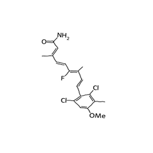 COc1cc(Cl)c(C=CC(C)=C(F)C=CC(C)=CC(N)=O)c(Cl)c1C